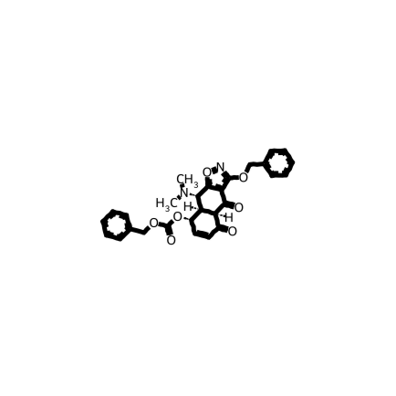 CN(C)[C@@H]1c2onc(OCc3ccccc3)c2C(=O)[C@H]2C(=O)C=C[C@H](OC(=O)OCc3ccccc3)[C@H]21